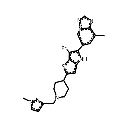 Cc1cc(-c2[nH]c3cc(C4CCN(Cc5ccn(C)n5)CC4)sc3c2C(C)C)cn2ncnc12